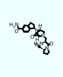 N#C[C@@H]1CCCN1C(=O)[C@@H](N)CN1C[C@@H]2C[C@H]1C(=O)N2[C@@H]1CCc2cc(C(N)=O)ccc21